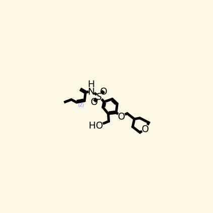 C=C(/C=C\CC)NS(=O)(=O)c1ccc(OCC2CCOCC2)c(CO)c1